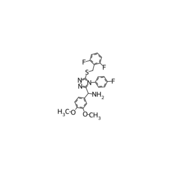 COc1ccc(C(N)c2nnc(SCc3c(F)cccc3F)n2-c2ccc(F)cc2)cc1OC